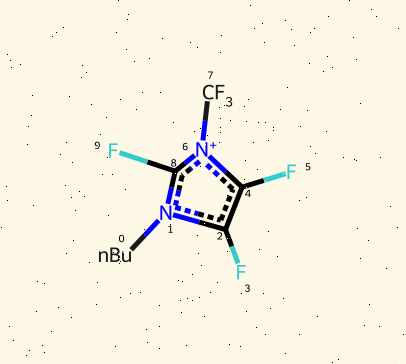 CCCCn1c(F)c(F)[n+](C(F)(F)F)c1F